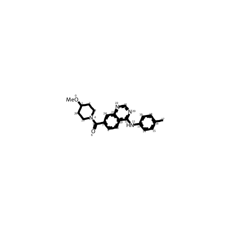 COC1CCN(C(=O)c2ccc3c(Nc4ccc(C)cc4)ncnc3c2)CC1